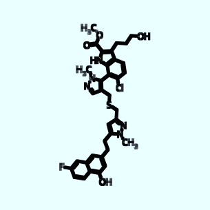 COC(=O)c1[nH]c2c(-c3c(CSCc4cc(CCc5cc(O)c6ccc(F)cc6c5)n(C)n4)cnn3C)c(Cl)ccc2c1CCCO